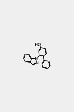 Oc1ccc(-c2ccccc2)c(-n2ncc3ccccc32)c1